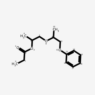 CCC(=O)OC(C)COC(C)COc1ccccc1